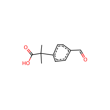 CC(C)(C(=O)O)c1ccc(C=O)cc1